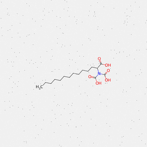 CCCCCCCCCCCCC(C(=O)O)N(C(=O)O)C(=O)O